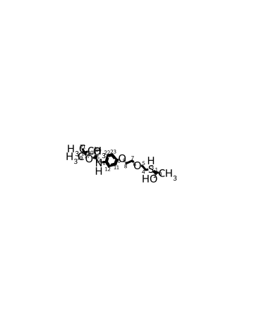 CC(O)=[SH]CCOCCOc1ccc(NC(=O)OC(C)(C)C)cc1